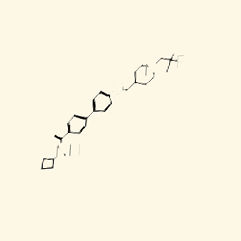 C=C(NC1CCC1)c1ccc(-c2ccc(OCC3CCN(CC(C)(C)F)CC3)cc2)cc1